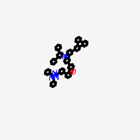 c1ccc(-c2cc(-c3ccccc3)cc(-n3c4ccc(-c5ccc6c7ccccc7c7ccccc7c6c5)cc4c4cc(-c5ccc6oc7cccc(-c8cccc(-c9nc(-c%10ccccc%10)nc(-c%10ccccc%10)n9)c8)c7c6c5)ccc43)c2)cc1